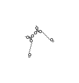 Cc1ccc(N(c2ccc(CCCCCCCCc3ccc4c(c3)CC4)cc2)c2ccc(-c3ccc(N(c4ccc(C)cc4)c4ccc(CCCCCCCCc5ccc6c(c5)CC6)cc4)cc3)cc2)cc1